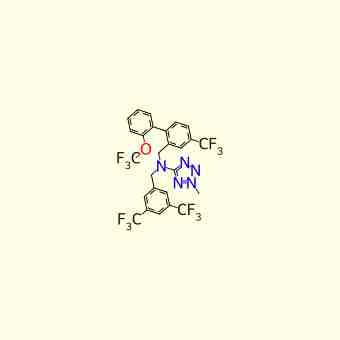 Cn1nnc(N(Cc2cc(C(F)(F)F)cc(C(F)(F)F)c2)Cc2cc(C(F)(F)F)ccc2-c2ccccc2OC(F)(F)F)n1